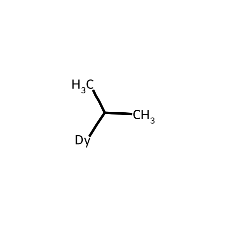 C[CH](C)[Dy]